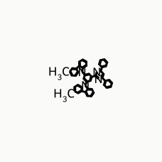 Cc1ccc2c(c1)c1ccccc1n2-c1cc(-c2nc(-c3ccccc3)cc(-c3ccccc3)n2)cc(-n2c3ccccc3c3cc(C)ccc32)c1